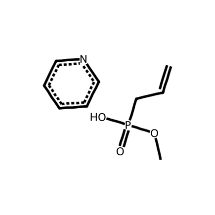 C=CCP(=O)(O)OC.c1ccncc1